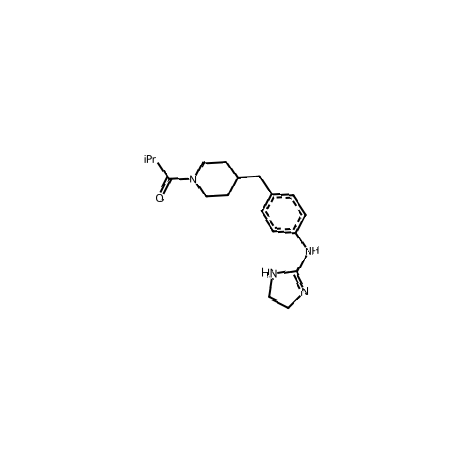 CC(C)C(=O)N1CCC(Cc2ccc(NC3=NCCN3)cc2)CC1